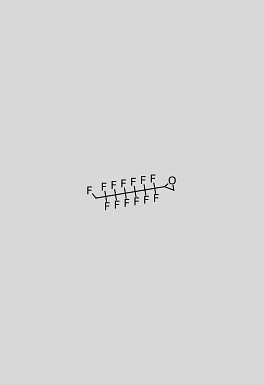 FCC(F)(F)C(F)(F)C(F)(F)C(F)(F)C(F)(F)C(F)(F)C1CO1